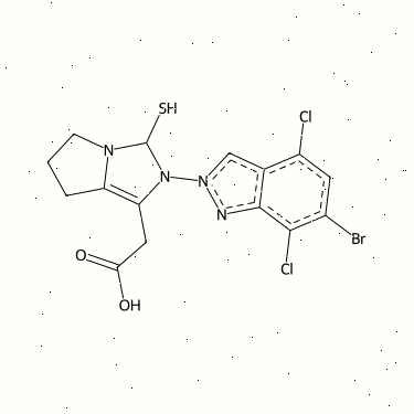 O=C(O)CC1=C2CCCN2C(S)N1n1cc2c(Cl)cc(Br)c(Cl)c2n1